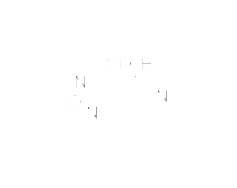 O=C(O)c1nonc1-c1cccnc1